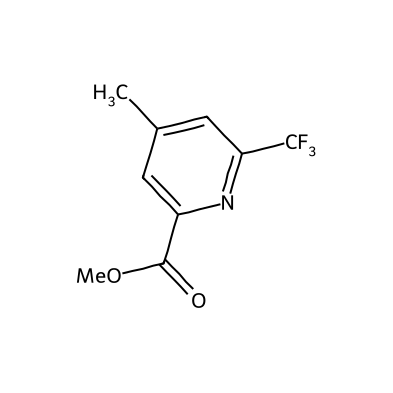 COC(=O)c1cc(C)cc(C(F)(F)F)n1